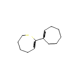 C1=C(C2=CCCCCS2)CCCCC1